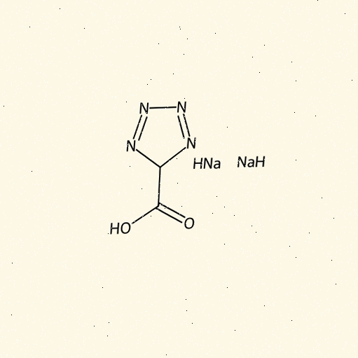 O=C(O)C1N=NN=N1.[NaH].[NaH]